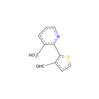 O=Cc1ccsc1-c1ncccc1C(=O)O